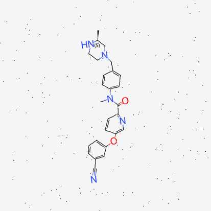 C[C@H]1CN(Cc2ccc(N(C)C(=O)c3ccc(Oc4cccc(C#N)c4)cn3)cc2)CCN1